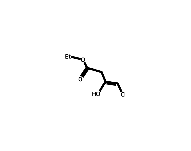 CCOC(=O)CC(O)=CCl